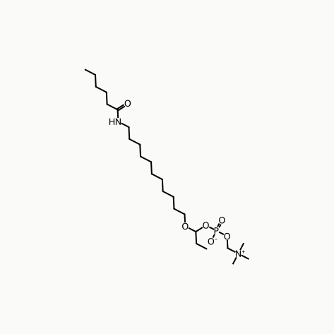 CCCCCC(=O)NCCCCCCCCCCCOC(CC)OP(=O)([O-])OC[N+](C)(C)C